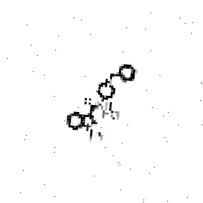 CCCn1nc(C(=O)NC2CCN(Cc3ccccc3)CC2)c2ccccc21.Cl